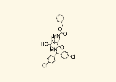 O=C(O)NC(CNC(=O)OCc1ccccc1)C(=O)NC(c1ccc(Cl)cc1)c1ccc(Cl)cc1